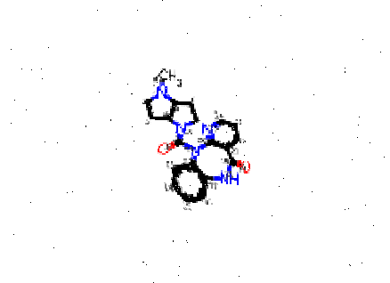 CN1CCC2C1CCN2C(=O)N1c2ccccc2NC(=O)c2cccnc21